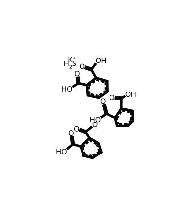 O=C(O)c1ccccc1C(=O)O.O=C(O)c1ccccc1C(=O)O.O=C([O-])c1ccccc1C(=O)O.S.[K+]